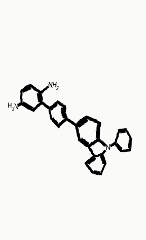 Nc1ccc(N)c(-c2ccc(-c3ccc4c(c3)c3ccccc3n4-c3ccccc3)cc2)c1